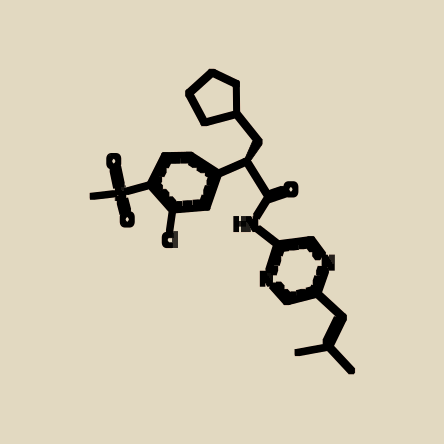 CC(C)=Cc1cnc(NC(=O)[C@H](CC2CCCC2)c2ccc(S(C)(=O)=O)c(Cl)c2)cn1